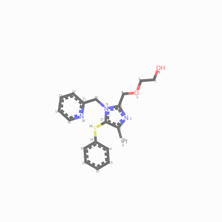 CC(C)c1nc(COCCO)n(Cc2ccccn2)c1Sc1ccccc1